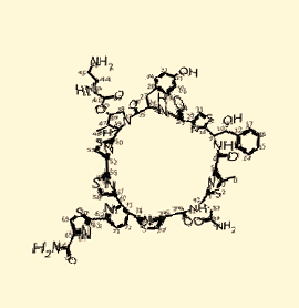 Cc1sc2nc1C(=O)N[C@@H]([C@H](O)c1ccccc1)c1nc(cs1)C(=O)NC(Cc1ccc(O)cc1)C(=O)N1C[C@H](OC(=O)NCCN)[C@H](C)[C@H]1c1nc(cs1)-c1nc(cs1)-c1nc(-c3nc(C(N)=O)cs3)ccc1-c1nc(cs1)C(=O)N[C@H]2CC(N)=O